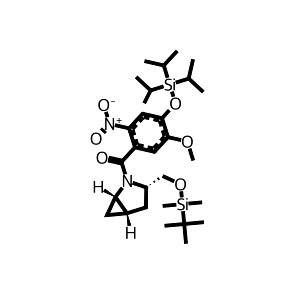 COc1cc(C(=O)N2[C@H](CO[Si](C)(C)C(C)(C)C)C[C@@H]3C[C@@H]32)c([N+](=O)[O-])cc1O[Si](C(C)C)(C(C)C)C(C)C